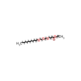 CCCCCCCCCCCCOCCOCCOCCCC(=O)OCCC